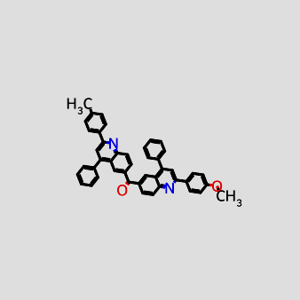 COc1ccc(-c2cc(-c3ccccc3)c3cc(C(=O)c4ccc5nc(-c6ccc(C)cc6)cc(-c6ccccc6)c5c4)ccc3n2)cc1